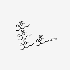 CCCCC(CC)C([O-])=[O+][O-].CCCCC(CC)C([O-])=[O+][O-].CCCCC(CC)C([O-])=[O+][O-].CCCCC(CC)C([O-])=[O+][O-].[Zr+4]